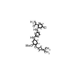 COc1cc(Nc2nccc(Nc3cc(Cl)cnc3C(N)=O)n2)ccc1OC1CC(N(C)C)C1